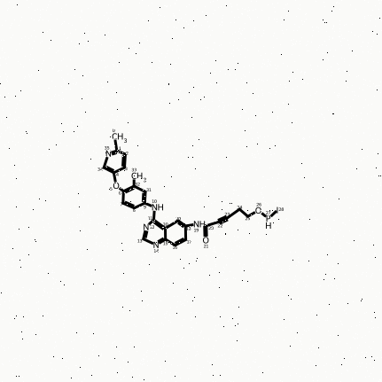 Cc1ccc(Oc2ccc(Nc3ncnc4ccc(NC(=O)C#CCCOPI)cc34)cc2C)cn1